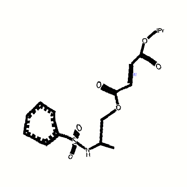 CC(COC(=O)/C=C/C(=O)OC(C)C)NS(=O)(=O)c1ccccc1